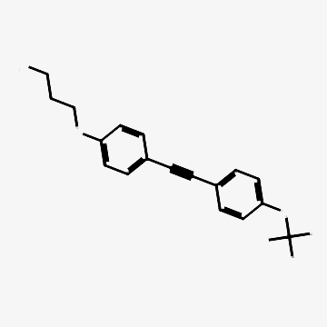 CCCCOc1ccc(C#Cc2ccc(OC(F)(F)F)cc2)cc1